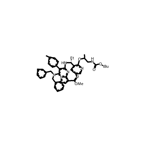 CC[C@@H](Nc1nc2c(C(=O)OC)cnn2c(N(Cc2ccccc2)Cc2ccccc2)c1-c1ccc(C)cc1)c1cc(F)cnc1OC(C)CNC(=O)OC(C)(C)C